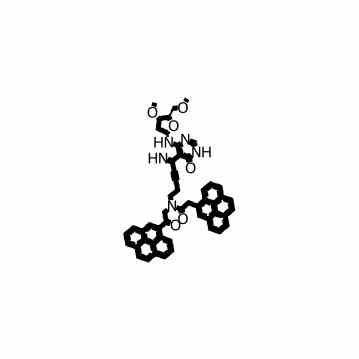 COC[C@H]1O[C@@H](Nc2nc[nH]c(=O)c2C(=N)C#CCCN(CC(=O)c2cc3cccc4ccc5cccc2c5c43)C(=O)Cc2cc3cccc4ccc5cccc2c5c43)CC1OC